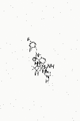 C[C@H]1[C@@H](N(C(=N)N2CCN[C@@H](C)C2)c2ccc3c(c2)C(=O)N(CCc2ccc(F)cc2F)C3)C[C@@H]2C[C@@H]1C2(C)C